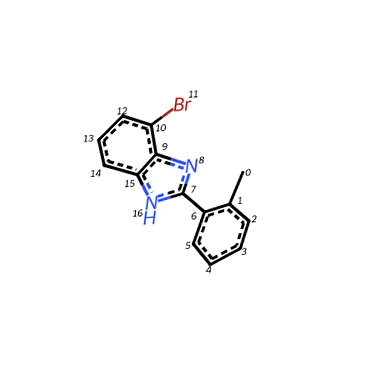 Cc1ccccc1-c1nc2c(Br)cccc2[nH]1